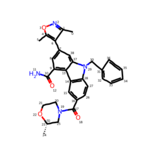 Cc1noc(C)c1-c1cc(C(N)=O)c2c3cc(C(=O)N4CCO[C@@H](C)C4)ccc3n(Cc3ccccc3)c2c1